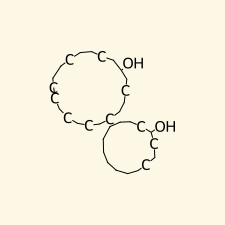 OC1CCCCCCCCCCCCC1.OC1CCCCCCCCCCCCCCCCCCC1